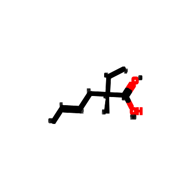 CC=CC[C@](C)(CC)C(=O)O